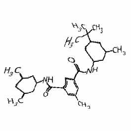 Cc1cc(C(=O)NC2CC(C)CC(C)C2)cc(C(=O)NC2CC(C)CC(C(C)(C)C)C2)c1